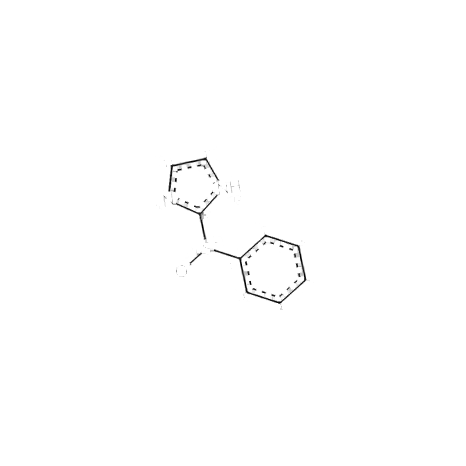 [O-][S+](c1ccccc1)c1n[c]c[nH]1